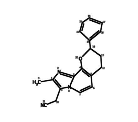 Cc1nc2c3c(ccn2c1CC#N)CCC(c1ccccc1)O3